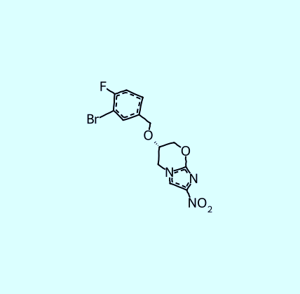 O=[N+]([O-])c1cn2c(n1)OC[C@@H](OCc1ccc(F)c(Br)c1)C2